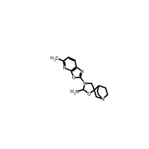 Cc1ccc2nc(N3CC4(CN5CCC4CC5)OC3N)oc2n1